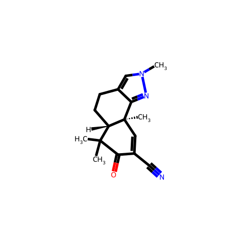 Cn1cc2c(n1)[C@@]1(C)C=C(C#N)C(=O)C(C)(C)[C@@H]1CC2